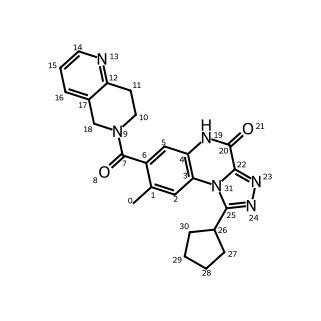 Cc1cc2c(cc1C(=O)N1CCc3ncccc3C1)[nH]c(=O)c1nnc(C3CCCC3)n12